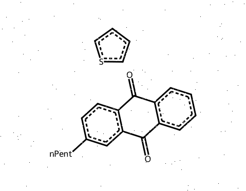 CCCCCc1ccc2c(c1)C(=O)c1ccccc1C2=O.c1ccsc1